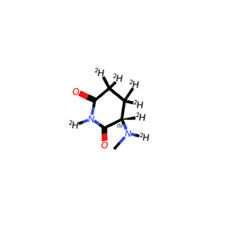 [2H]N1C(=O)C([2H])([2H])C([2H])([2H])[C@]([2H])(N([2H])C)C1=O